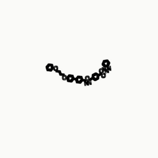 O=C(On1nnc2ccccc21)c1ccc(-c2nnc(-c3ccc(-c4ccc(OCCCCOc5ccccc5)cc4)cc3)o2)cc1